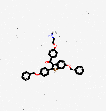 CNCCOc1ccc(C(=O)c2c(-c3ccc(OCc4ccccc4)cc3)sc3cc(OCc4ccccc4)ccc23)cc1